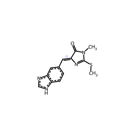 CSC1=N/C(=C\c2ccc3[nH]cnc3c2)C(=O)N1C